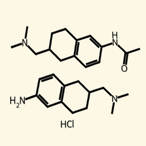 CC(=O)Nc1ccc2c(c1)CCC(CN(C)C)C2.CN(C)CC1CCc2cc(N)ccc2C1.Cl